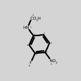 O=C(O)Nc1ccc([N+](=O)[O-])c(F)c1